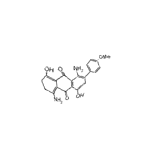 COc1ccc(-c2cc(O)c3c(c2N)C(=O)C2=C(O)CCC(N)=C2C3=O)cc1